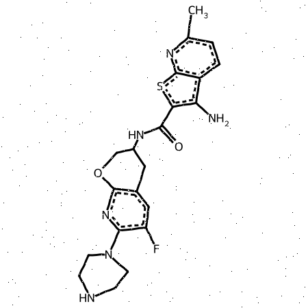 Cc1ccc2c(N)c(C(=O)NC3COc4nc(N5CCNCC5)c(F)cc4C3)sc2n1